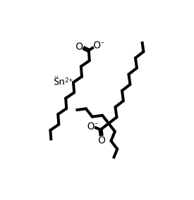 CCCCCCCCCCC(CCCC)(CCCC)C(=O)[O-].CCCCCCCCCCCC(=O)[O-].[Sn+2]